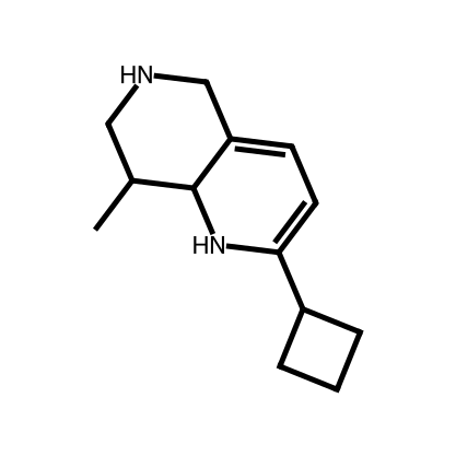 CC1CNCC2=CC=C(C3CCC3)NC21